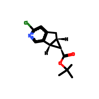 CC(C)(C)OC(=O)[C@H]1[C@@H]2Cc3cc(Cl)ncc3[C@@H]21